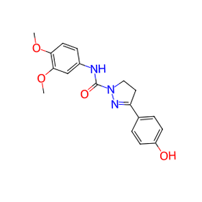 COc1ccc(NC(=O)N2CCC(c3ccc(O)cc3)=N2)cc1OC